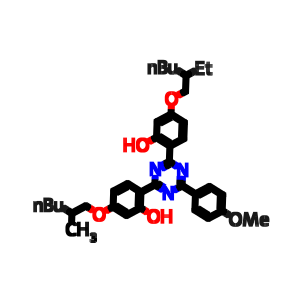 CCCCC(C)COc1ccc(-c2nc(-c3ccc(OC)cc3)nc(-c3ccc(OCC(CC)CCCC)cc3O)n2)c(O)c1